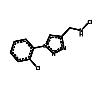 ClNCc1cn(-c2ccccc2Cl)nn1